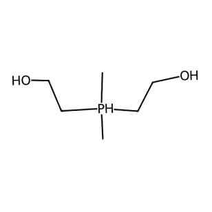 C[PH](C)(CCO)CCO